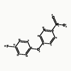 O=[N+]([O-])c1ccc(Oc2c[c]c(F)cc2)cn1